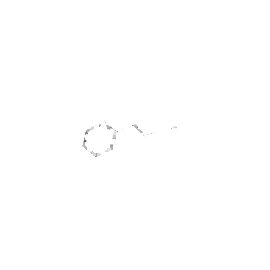 [CH2]C(CCC)N=Cc1ccccn1